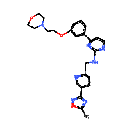 FC(F)(F)c1nc(-c2ccc(CNc3nccc(-c4cccc(OCCN5CCOCC5)c4)n3)nc2)no1